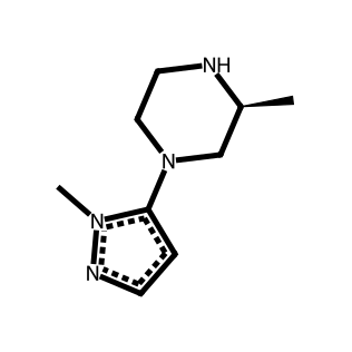 C[C@H]1CN(c2ccnn2C)CCN1